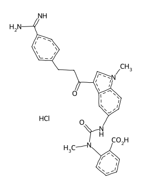 CN(C(=O)Nc1ccc2c(c1)c(C(=O)CCc1ccc(C(=N)N)cc1)cn2C)c1ccccc1C(=O)O.Cl